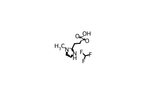 C[n+]1cc[nH]c1CCS(=O)(=O)O.FC(F)F